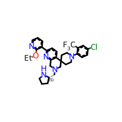 CCOc1ncccc1-c1ccc2c(n1)CN(C[C@@H]1CCCN1)CC21CCN(c2ccc(Cl)cc2C(F)(F)F)CC1